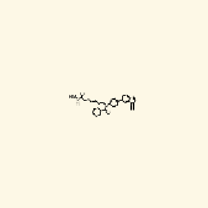 O=C(CCCCCCN(C(=O)C1CCCCC1)c1ccc(-c2ccc3cc[nH]c3c2)cc1)NO